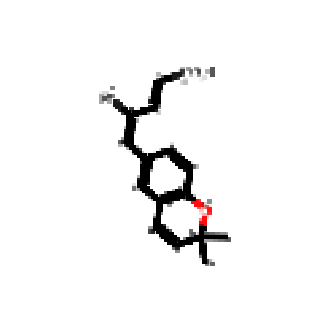 CCC(C=CC(=O)O)=Cc1ccc2c(c1)C=CC(C)(C)O2